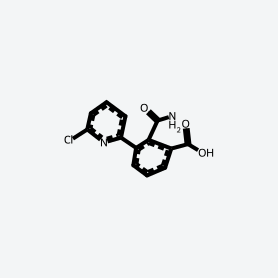 NC(=O)c1c(C(=O)O)cccc1-c1cccc(Cl)n1